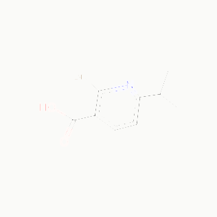 CC(C)c1ccc(C(=O)O)c(Br)n1